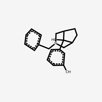 [CH]c1cccc(C2(O)C3CCC2CN(Cc2ccccc2)C3)c1